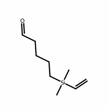 C=C[Si](C)(C)CCCCC=O